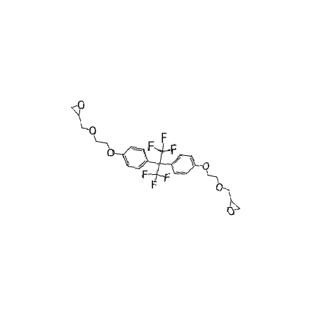 FC(F)(F)C(c1ccc(OCCOCC2CO2)cc1)(c1ccc(OCCOCC2CO2)cc1)C(F)(F)F